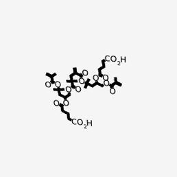 C=C(C)C(=O)OCC(CC(C)(C)OC(=O)C(=C)CC(C)(C)C(=O)OCC(CC(C)(C)OC(=O)C(=C)C)OC(=O)CCCC(=O)O)OC(=O)CCCC(=O)O